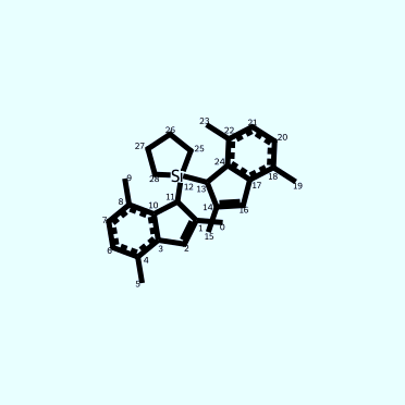 CC1=Cc2c(C)ccc(C)c2C1[Si]1(C2C(C)=Cc3c(C)ccc(C)c32)CCCC1